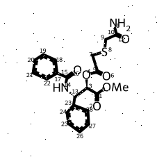 COC(=O)[C@H](OC(=O)CSCC(N)=O)[C@@H](NC(=O)c1ccccc1)c1ccccc1